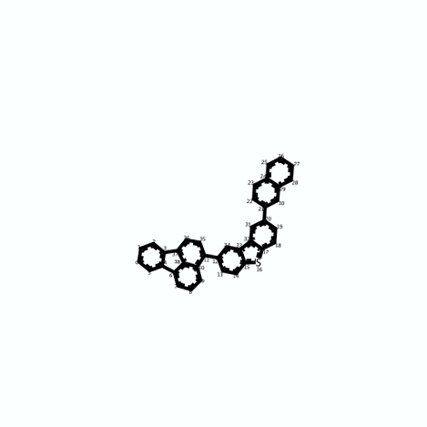 c1ccc2c(c1)-c1cccc3c(-c4ccc5sc6ccc(-c7ccc8ccccc8c7)cc6c5c4)ccc-2c13